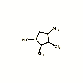 CC1C(N)CN(C)N1C